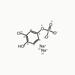 O=P([O-])([O-])Oc1ccc(O)c(Cl)c1.[Na+].[Na+]